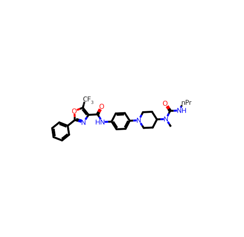 CCCNC(=O)N(C)C1CCN(c2ccc(NC(=O)c3nc(-c4ccccc4)oc3C(F)(F)F)cc2)CC1